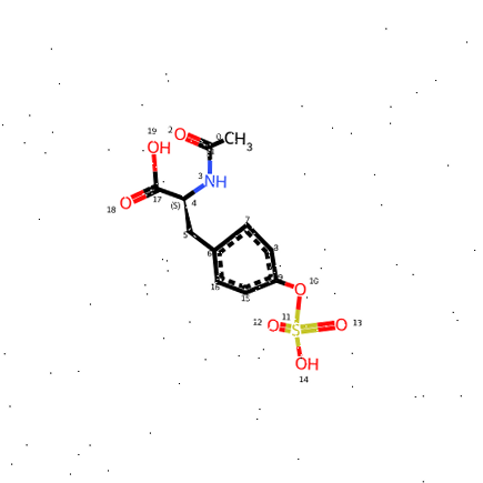 CC(=O)N[C@@H](Cc1ccc(OS(=O)(=O)O)cc1)C(=O)O